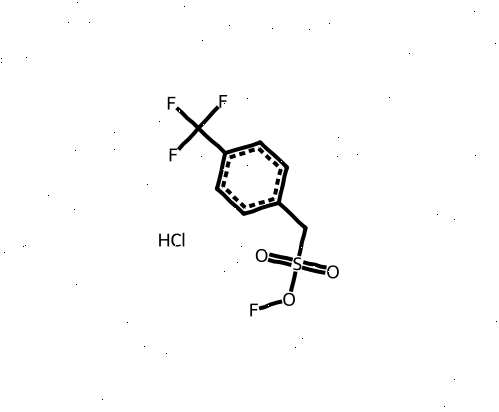 Cl.O=S(=O)(Cc1ccc(C(F)(F)F)cc1)OF